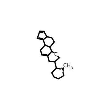 CN1CCCCC1C1CCC2C(=CCC3C4=CC=CC4CCC23)C1